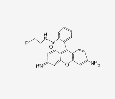 N=c1ccc2c(-c3ccccc3C(=O)NCCF)c3ccc(N)cc3oc-2c1